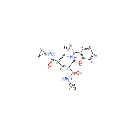 CNC(=O)c1cc(C(=O)NC2CC2)cn(C(C)c2ccccc2)c1=O